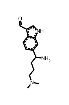 CN(C)CCCC(N)c1ccc2c(C=O)c[nH]c2c1